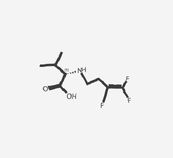 CC(C)[C@H](NCCC(F)=C(F)F)C(=O)O